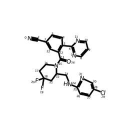 N#Cc1ccc(-c2ncccn2)c(C(=O)N2CCC(F)(F)CC2CNc2ccc(Cl)cn2)c1